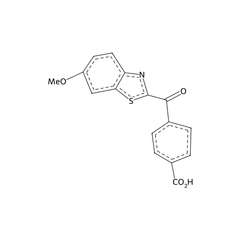 COc1ccc2nc(C(=O)c3ccc(C(=O)O)cc3)sc2c1